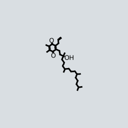 C=CCC1=C(CCC(C)(O)CCCC(C)CCCC(C)CCCC(C)C)C(=O)C(C)=C(C)C1=O